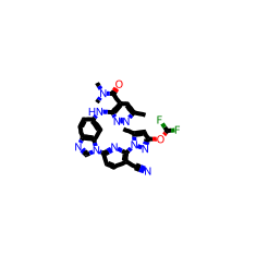 Cc1cc(C(=O)N(C)C)c(Nc2ccc3ncn(-c4ccc(C#N)c(-n5nc(OC(F)F)cc5C)n4)c3c2)nn1